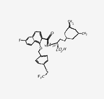 C=C1CC(C)CC(CC[C@H](NC(=O)c2ccc3cc(F)ccc3c2OCc2ccc(SC(F)(F)F)cc2)C(=O)O)C1